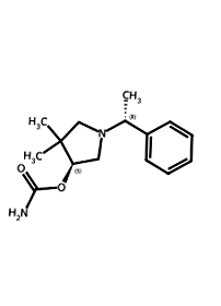 C[C@H](c1ccccc1)N1C[C@@H](OC(N)=O)C(C)(C)C1